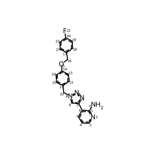 Nc1ncccc1-c1cn(Cc2ccc(OCc3ccc(F)cc3)cc2)nn1